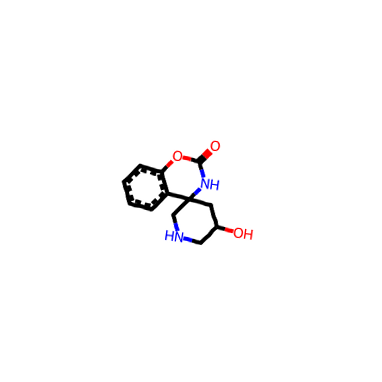 O=C1NC2(CNCC(O)C2)c2ccccc2O1